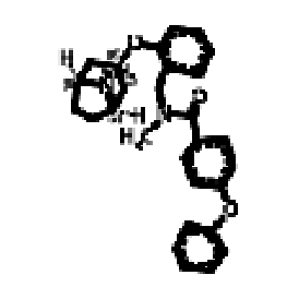 CN(Cc1ccccc1O[C@H]1C[C@H]2CC[C@@H](C1)N2C)C(=O)c1ccc(Oc2ccccc2)cc1